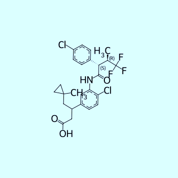 C[C@H]([C@H](C(=O)Nc1cc(C(CC(=O)O)CC2(C)CC2)ccc1Cl)c1ccc(Cl)cc1)C(F)(F)F